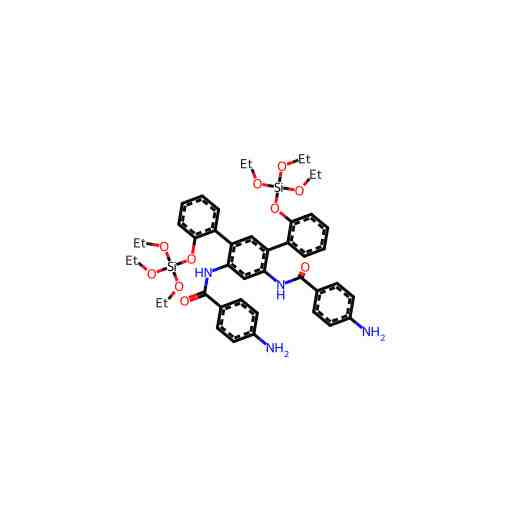 CCO[Si](OCC)(OCC)Oc1ccccc1-c1cc(-c2ccccc2O[Si](OCC)(OCC)OCC)c(NC(=O)c2ccc(N)cc2)cc1NC(=O)c1ccc(N)cc1